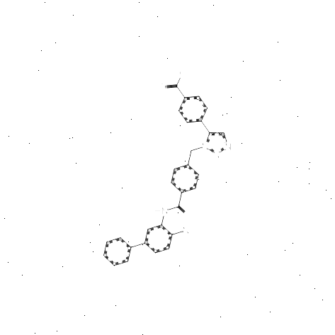 CC(=O)c1ccc(-c2cnnn2Cc2ccc(C(=O)Nc3cc(-c4ccccc4)ccc3N)cc2)cc1